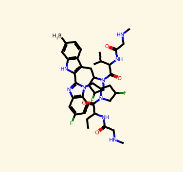 Bc1ccc2c(CC3CC(F)CN3C(=O)C(NC(=O)CNC)C(C)C)c(-c3nc4cc(F)ccc4n3CC3CC(F)CN3C(=O)C(CC)NC(=O)CNC)[nH]c2c1